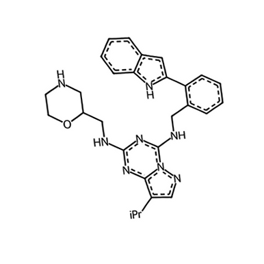 CC(C)c1cnn2c(NCc3ccccc3-c3cc4ccccc4[nH]3)nc(NCC3CNCCO3)nc12